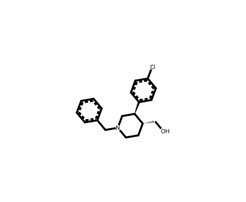 OC[C@@H]1CCN(Cc2ccccc2)C[C@H]1c1ccc(Cl)cc1